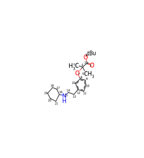 CC(C)(C)OC(=O)C(C)(C)Oc1cccc(CCNC2CCCCC2)c1